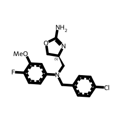 COc1cc(N(Cc2ccc(Cl)cc2)C[C@H]2COC(N)=N2)ccc1F